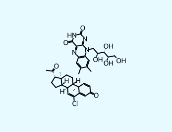 CC(=O)[C@H]1CC[C@H]2[C@@H]3C=C(Cl)C4=CC(=O)C=C[C@]4(C)[C@H]3CC[C@]12C.Cc1cc2nc3c(=O)[nH]c(=O)nc-3n(C[C@H](O)[C@H](O)[C@H](O)CO)c2cc1C